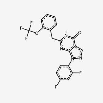 O=c1[nH]c(Cc2ccccc2OC(F)(F)F)nc2c1cnn2-c1ccc(F)cc1F